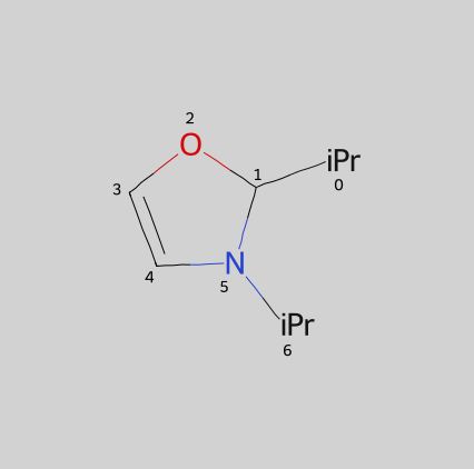 CC(C)C1OC=CN1C(C)C